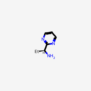 CC[C@H](N)c1ncccn1